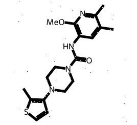 COc1nc(C)c(C)cc1NC(=O)N1CCN(c2ccsc2C)CC1